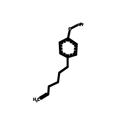 C=CCCCCc1ccc(OCCC)cc1